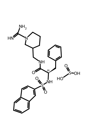 N=C(N)N1CCCC(CNC(=O)[C@@H](Cc2ccccc2)NS(=O)(=O)c2ccc3ccccc3c2)C1.O=S(O)O